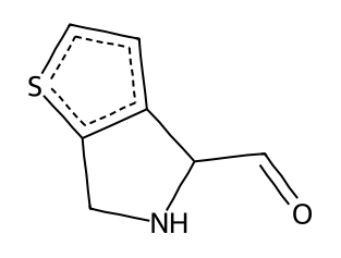 O=CC1NCc2sccc21